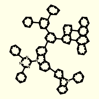 c1ccc(-c2cc(-c3ccccc3)cc(-c3cc(-c4ccc5c(c4)c4cc(-c6ccc7c(c6)c6ccccc6n7-c6ccccc6)ccc4n5-c4nc(-c5ccccc5)nc(-c5ccccc5)n4)cc(-c4ccc(-c5cccc6ccccc56)c5c(-c6cccc7ccccc67)cccc45)c3)c2)cc1